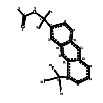 CC(=O)OC(C)(C)c1ccc2cc3cccc(C(F)(F)F)c3cc2c1